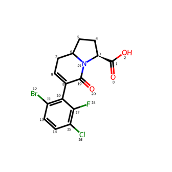 O=C(O)[C@@H]1CCC2CC=C(c3c(Br)ccc(Cl)c3F)C(=O)N21